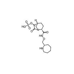 O=C(NOCC1CCCCCN1)[C@@H]1CC[C@@H]2CN1C(=O)N2OS(=O)(=O)O